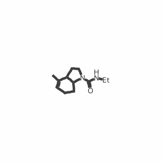 CCNC(=O)N1CCC2C(C)=CCCC21